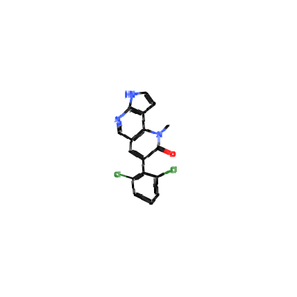 Cn1c(=O)c(-c2c(Cl)cccc2Cl)cc2cnc3[nH]ccc3c21